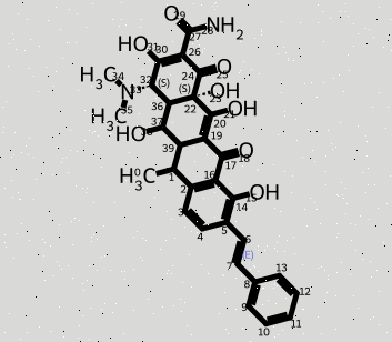 CC1c2ccc(/C=C/c3ccccc3)c(O)c2C(=O)C2=C(O)[C@]3(O)C(=O)C(C(N)=O)=C(O)[C@@H](N(C)C)C3C(O)C21